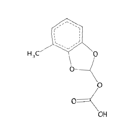 Cc1cccc2c1OC(OC(=O)O)O2